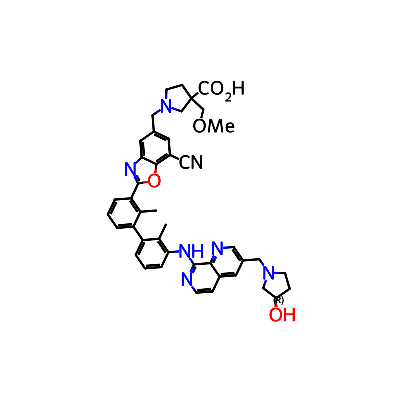 COCC1(C(=O)O)CCN(Cc2cc(C#N)c3oc(-c4cccc(-c5cccc(Nc6nccc7cc(CN8CC[C@@H](O)C8)cnc67)c5C)c4C)nc3c2)C1